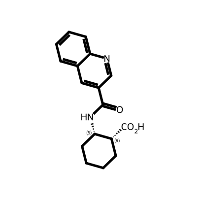 O=C(N[C@H]1CCCC[C@H]1C(=O)O)c1cnc2ccccc2c1